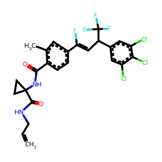 C=CCNC(=O)C1(NC(=O)c2ccc(C(F)=CC(c3cc(Cl)c(Cl)c(Cl)c3)C(F)(F)F)cc2C)CC1